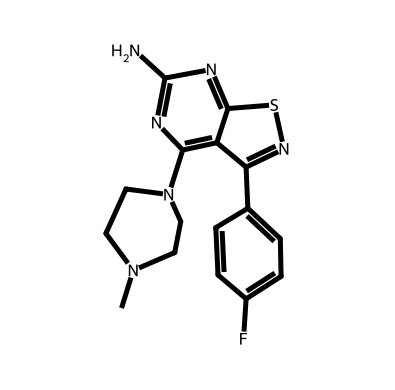 CN1CCN(c2nc(N)nc3snc(-c4ccc(F)cc4)c23)CC1